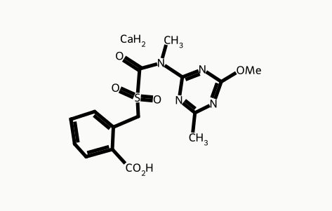 COc1nc(C)nc(N(C)C(=O)S(=O)(=O)Cc2ccccc2C(=O)O)n1.[CaH2]